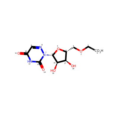 O=C(O)COC[C@H]1O[C@@H](n2ncc(=O)[nH]c2=O)[C@H](O)[C@@H]1O